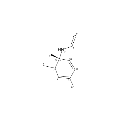 CC1=CC(C)[C@](C)(NC=O)C=C1